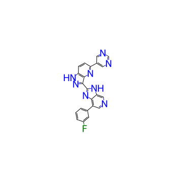 Fc1cccc(-c2cncc3[nH]c(-c4n[nH]c5ccc(-c6cncnc6)nc45)nc23)c1